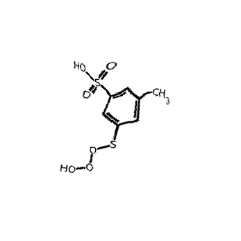 Cc1cc(SOOO)cc(S(=O)(=O)O)c1